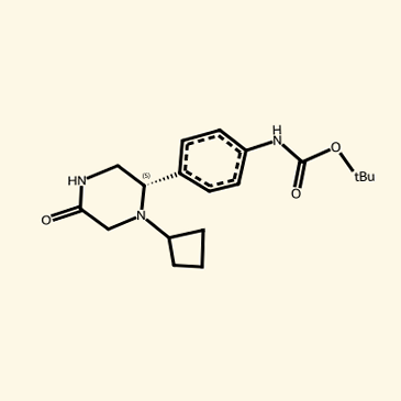 CC(C)(C)OC(=O)Nc1ccc([C@H]2CNC(=O)CN2C2CCC2)cc1